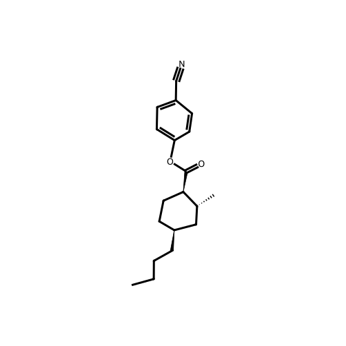 CCCC[C@H]1CC[C@@H](C(=O)Oc2ccc(C#N)cc2)[C@H](C)C1